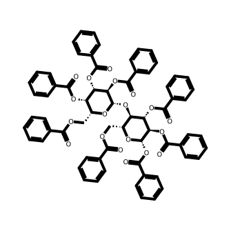 O=C(OC[C@H]1O[C@@H](O[C@H]2[C@H](OC(=O)c3ccccc3)[C@@H](OC(=O)c3ccccc3)[C@H](OC(=O)c3ccccc3)O[C@@H]2COC(=O)c2ccccc2)[C@H](OC(=O)c2ccccc2)[C@@H](OC(=O)c2ccccc2)[C@H]1OC(=O)c1ccccc1)c1ccccc1